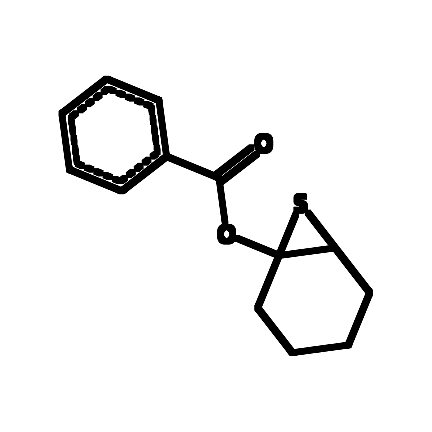 O=C(OC12CCCCC1S2)c1ccccc1